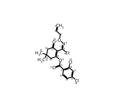 C=CCO/N=C(/CC)C1=C(OC(=O)c2ccc(Cl)cc2Cl)CC(C)(C)CC1=O